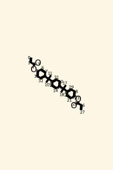 C=CC(=O)Oc1ccc(C(C)(C)c2ccc(C(C)(C)c3ccc(OC(=O)C=C)cc3)cc2)cc1